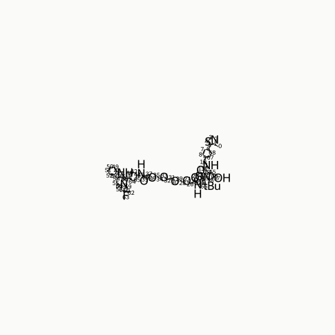 Cc1ncsc1-c1ccc(CNC(=O)[C@@H]2C[C@@H](O)CN2C(=O)[C@@H](NC(=O)COCCOCCOCCOCC(=O)Nc2ccc([C@@H]3c4[nH]c5ccccc5c4C[C@@H](C)N3CC(C)(C)F)cc2)C(C)(C)C)cc1